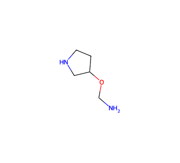 NCOC1CCNC1